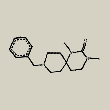 CN1CCC2(CCN(Cc3ccccc3)CC2)N(C)C1=O